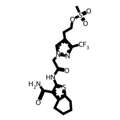 CS(=O)(=O)OCCc1cn(CC(=O)Nc2sc3c(c2C(N)=O)CCCC3)nc1C(F)(F)F